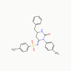 Cc1ccc(N2C(=O)NC(Cc3ccccc3)CC2=NS(=O)(=O)c2ccc(C)cc2)cc1